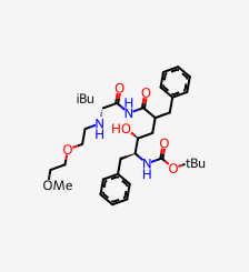 CC[C@H](C)[C@@H](NCCOCCOC)C(=O)NC(=O)C(Cc1ccccc1)C[C@H](O)[C@H](Cc1ccccc1)NC(=O)OC(C)(C)C